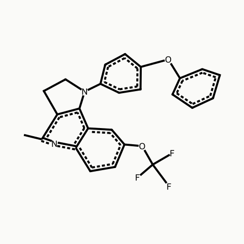 Cc1nc2ccc(OC(F)(F)F)cc2c2c1CCN2c1ccc(Oc2ccccc2)cc1